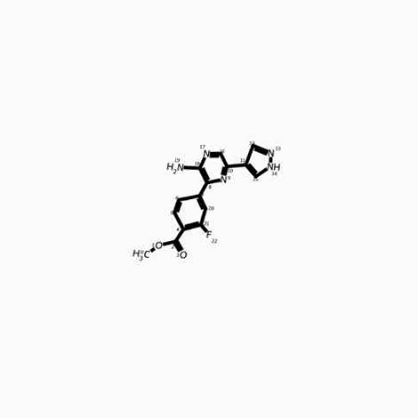 COC(=O)c1ccc(-c2nc(-c3cn[nH]c3)cnc2N)cc1F